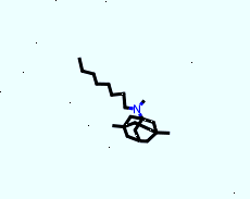 CCCCCCCCN(C)C12CC3CC(C)(CC(C)(C3)C1)C2